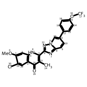 COc1cc2[nH]c(-c3nc4ccc(-c5ccc(OC(F)(F)F)cc5)cn4n3)c(C)c(=O)c2cc1Cl